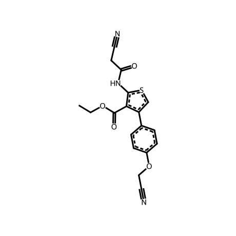 CCOC(=O)c1c(-c2ccc(OCC#N)cc2)csc1NC(=O)CC#N